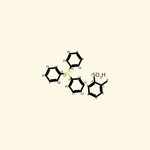 Cc1ccccc1S(=O)(=O)O.c1ccc([S+](c2ccccc2)c2ccccc2)cc1